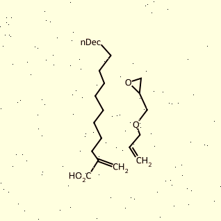 C=C(CCCCCCCCCCCCCCCCCC)C(=O)O.C=CCOCC1CO1